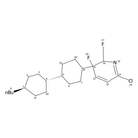 CCCC[C@H]1CC[C@H](C2CCC(C3(F)C=CC(Cl)=NC3F)CC2)CC1